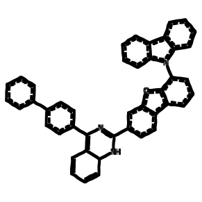 C1=CC2=C(c3ccc(-c4ccccc4)cc3)N=C(c3ccc4c(c3)oc3c(-n5c6ccccc6c6ccccc65)cccc34)NC2C=C1